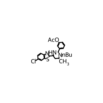 CCCCN(Cc1cccc(OC(C)=O)c1)C(C)CC(=N)c1nc2ccc(Cl)cc2s1